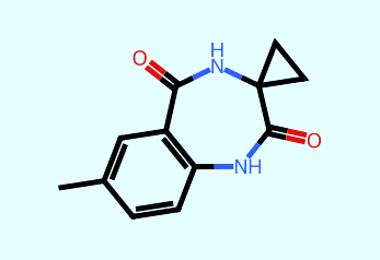 Cc1ccc2c(c1)C(=O)NC1(CC1)C(=O)N2